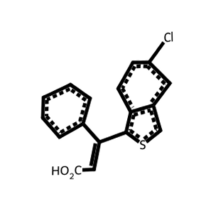 O=C(O)C=C(c1ccccc1)c1scc2cc(Cl)ccc12